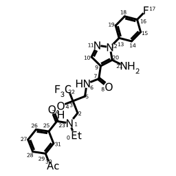 CCN(CC(O)(CNC(=O)c1cnn(-c2ccc(F)cc2)c1N)C(F)(F)F)C(=O)c1cccc(C(C)=O)c1